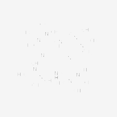 CC1=C(C)N(C)C(c2c3nc(c(C4N(C)C(C)=C(C)N4C)c4ccc([nH]4)c(C4N(C)C(C)=C(C)N4C)c4nc(c(C5N(C)C(C)=C(C)N5C)c5ccc2[nH]5)C=C4)C=C3)N1C